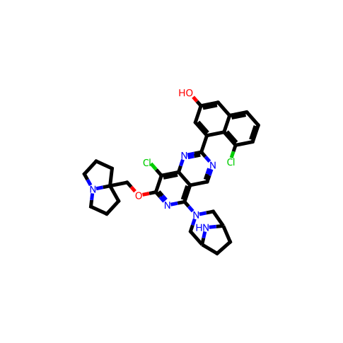 Oc1cc(-c2ncc3c(N4CC5CCC(C4)N5)nc(OCC45CCCN4CCC5)c(Cl)c3n2)c2c(Cl)cccc2c1